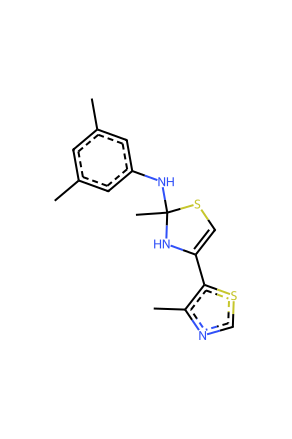 Cc1cc(C)cc(NC2(C)NC(c3scnc3C)=CS2)c1